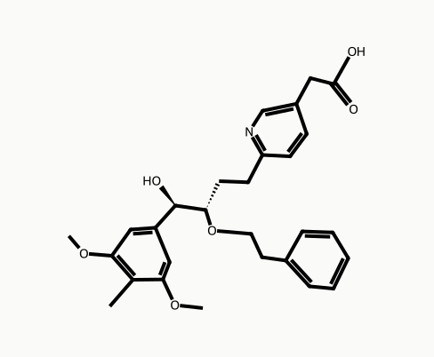 COc1cc([C@@H](O)[C@H](CCc2ccc(CC(=O)O)cn2)OCCc2ccccc2)cc(OC)c1C